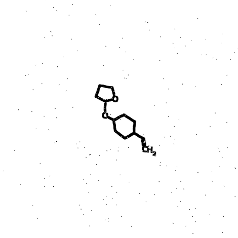 C=CC1CCC(OC2CCCO2)CC1